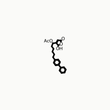 CC(=O)OC(CCCCCc1ccc(-c2ccccc2)cc1)C1=CC(=O)OC1O